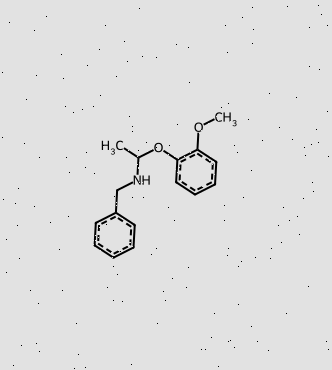 COc1ccccc1OC(C)NCc1ccccc1